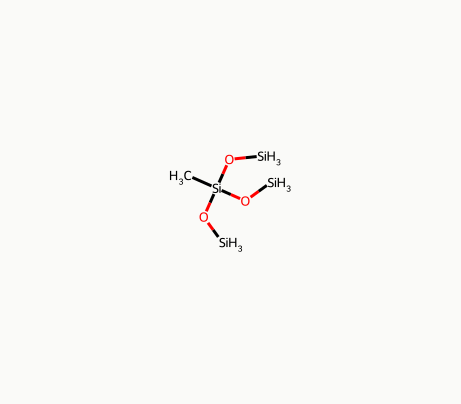 C[Si](O[SiH3])(O[SiH3])O[SiH3]